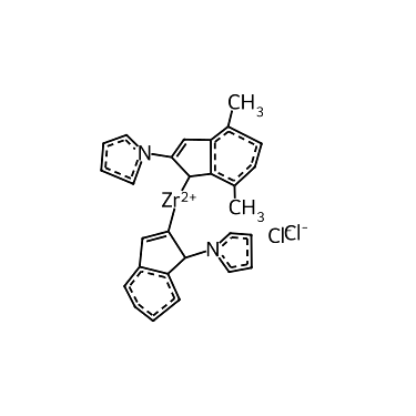 Cc1ccc(C)c2c1C=C(n1cccc1)[CH]2[Zr+2][C]1=Cc2ccccc2C1n1cccc1.[Cl-].[Cl-]